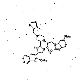 COc1ccc2nc(C(F)(F)F)n(CC(=O)N3CCN(Cc4ncnn4C)CC3c3ncc(-c4cc5ccccc5nc4OC)[nH]3)c2c1